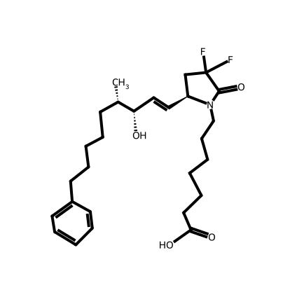 C[C@@H](CCCCCc1ccccc1)[C@@H](O)C=C[C@H]1CC(F)(F)C(=O)N1CCCCCCC(=O)O